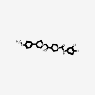 COc1ccc(C2CCN(CC(O)C3CCN(C(=S)Nc4ccc(Cl)c(Cl)c4)CC3)CC2)cc1